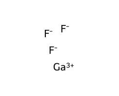 [F-].[F-].[F-].[Ga+3]